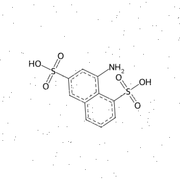 Nc1cc(S(=O)(=O)O)cc2cccc(S(=O)(=O)O)c12